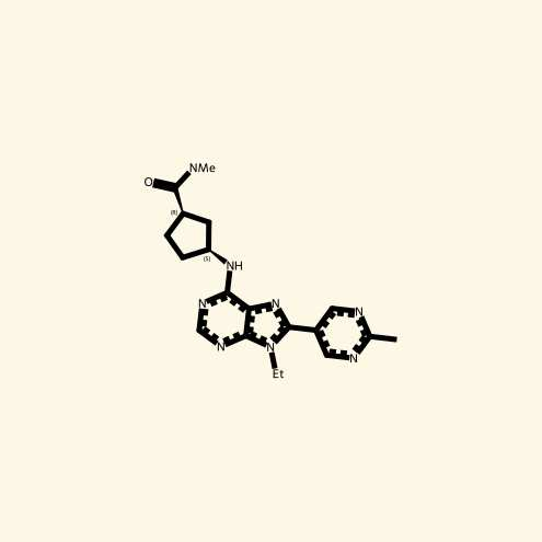 CCn1c(-c2cnc(C)nc2)nc2c(N[C@H]3CC[C@@H](C(=O)NC)C3)ncnc21